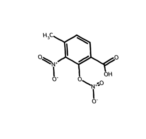 Cc1ccc(C(=O)O)c(O[N+](=O)[O-])c1[N+](=O)[O-]